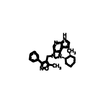 Cc1onc(-c2ccccc2)c1CN1CN([C@H]2CCCC[C@H]2C)c2c1cnc1[nH]ccc21